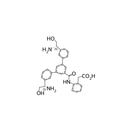 N[C@H](CO)c1cccc(-c2cc(C(=O)Nc3ccccc3CC(=O)O)cc(-c3cccc([C@H](N)CO)c3)c2)c1